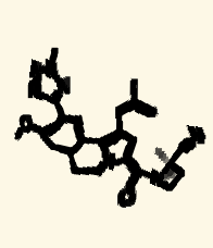 C=C(C)Cc1cc(C(=O)N2CC[C@]2(C)C#N)n2c1-c1cc(-c3nnn(C)n3)c(OC)cc1CC2